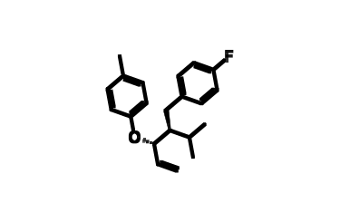 C=C[C@H](Oc1ccc(C)cc1)[C@@H](Cc1ccc(F)cc1)C(C)C